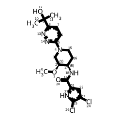 CO[C@H]1CN(c2ccc(C(C)(C)O)nn2)CC[C@H]1NC(=O)c1cc(Cl)c(Cl)[nH]1